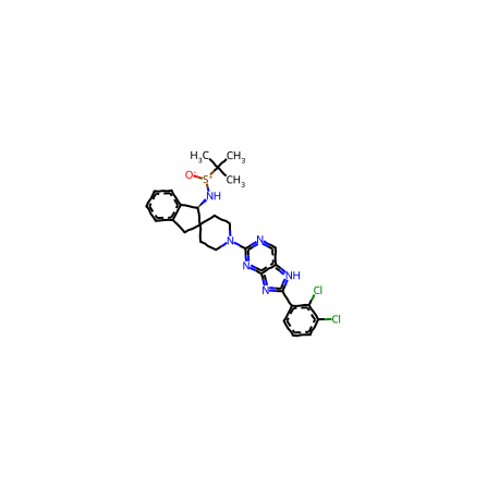 CC(C)(C)[S+]([O-])N[C@@H]1c2ccccc2CC12CCN(c1ncc3[nH]c(-c4cccc(Cl)c4Cl)nc3n1)CC2